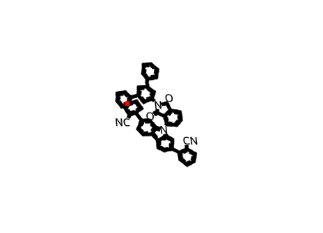 N#Cc1ccccc1-c1ccc2c3ccc(-c4ccccc4C#N)cc3n(-c3cccc4c3C(=O)N(c3cc(-c5ccccc5)cc(-c5ccccc5)c3)C4=O)c2c1